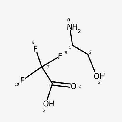 NCCO.O=C(O)C(F)(F)F